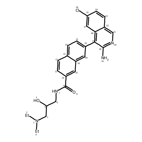 CCN(CC)CC(O)CNC(=O)c1ccc2ccc(-c3c(N)ncc4ccc(Cl)cc34)cc2c1